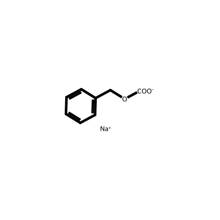 O=C([O-])OCc1ccccc1.[Na+]